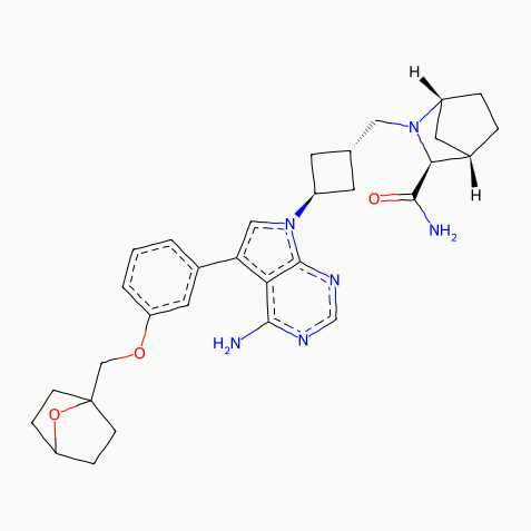 NC(=O)[C@@H]1[C@H]2CC[C@H](C2)N1C[C@H]1C[C@H](n2cc(-c3cccc(OCC45CCC(CC4)O5)c3)c3c(N)ncnc32)C1